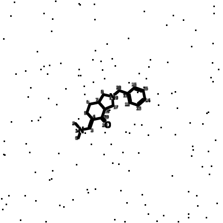 CN(C)C=C1CCC2CN(Cc3ccccc3)CC2C1=O